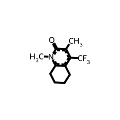 Cc1c(C(F)(F)F)c2c(n(C)c1=O)CCCC2